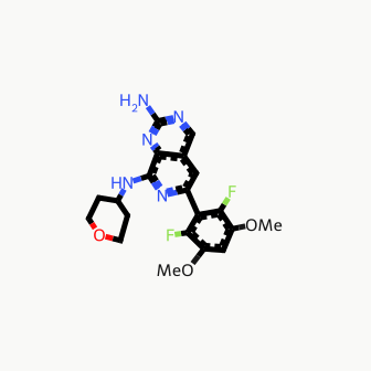 COc1cc(OC)c(F)c(-c2cc3cnc(N)nc3c(NC3CCOCC3)n2)c1F